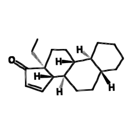 CC[C@]12CC[C@H]3[C@@H](CC[C@H]4CCCC[C@@H]43)[C@@H]1C=CC2=O